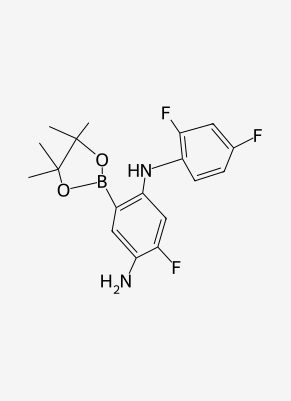 CC1(C)OB(c2cc(N)c(F)cc2Nc2ccc(F)cc2F)OC1(C)C